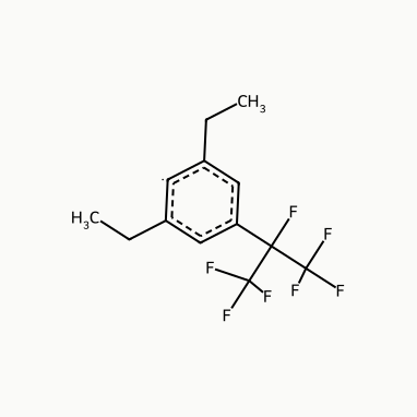 CCc1[c]c(CC)cc(C(F)(C(F)(F)F)C(F)(F)F)c1